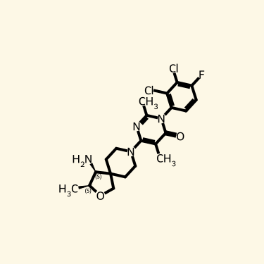 Cc1c(N2CCC3(CC2)CO[C@@H](C)[C@H]3N)nc(C)n(-c2ccc(F)c(Cl)c2Cl)c1=O